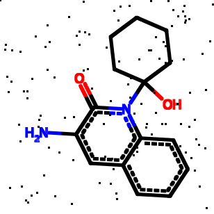 Nc1cc2ccccc2n(C2(O)CCCCC2)c1=O